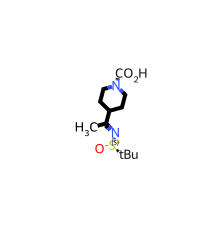 CC(=N[S@+]([O-])C(C)(C)C)C1CCN(C(=O)O)CC1